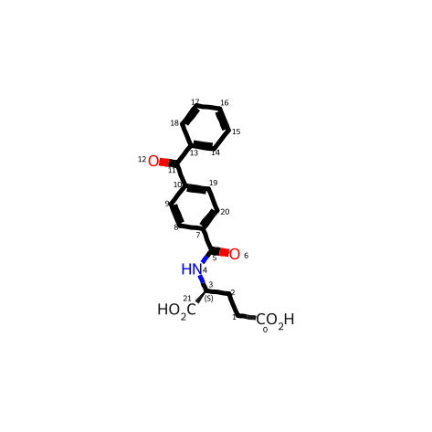 O=C(O)CC[C@H](NC(=O)c1ccc(C(=O)c2ccccc2)cc1)C(=O)O